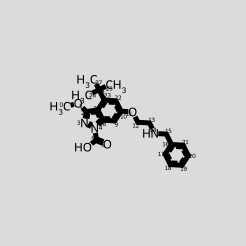 COc1nn(C(=O)O)c2cc(OCCNCc3ccccc3)cc(C(C)(C)C)c12